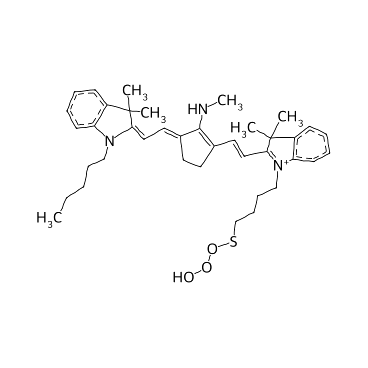 CCCCCN1/C(=C/C=C2\CCC(/C=C/C3=[N+](CCCCSOOO)c4ccccc4C3(C)C)=C2NC)C(C)(C)c2ccccc21